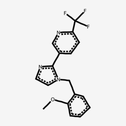 COc1ccccc1Cn1ccnc1-c1ccc(C(F)(F)F)nc1